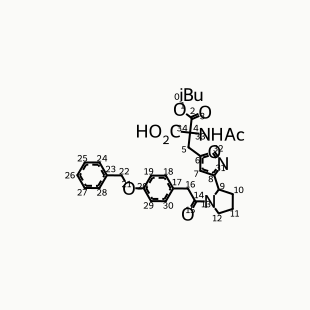 CCC(C)OC(=O)C(Cc1cc(C2CCCN2C(=O)Cc2ccc(OCc3ccccc3)cc2)no1)(NC(C)=O)C(=O)O